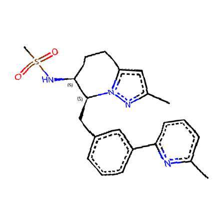 Cc1cccc(-c2cccc(C[C@H]3[C@@H](NS(C)(=O)=O)CCc4cc(C)nn43)c2)n1